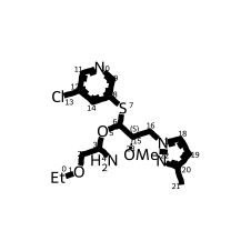 CCOCC(N)OC(Sc1cncc(Cl)c1)[C@H](Cn1ccc(C)n1)OC